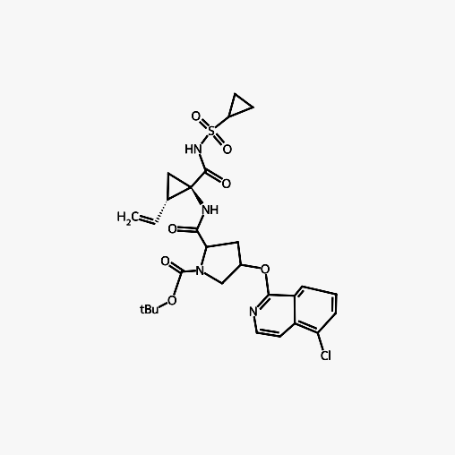 C=C[C@@H]1C[C@]1(NC(=O)C1CC(Oc2nccc3c(Cl)cccc23)CN1C(=O)OC(C)(C)C)C(=O)NS(=O)(=O)C1CC1